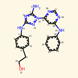 Nc1nc(Nc2ccc(CCO)cc2)nn1-c1cc(Nc2ccccc2)ncn1